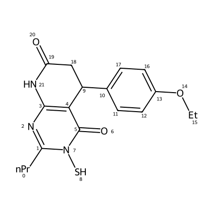 CCCc1nc2c(c(=O)n1S)C(c1ccc(OCC)cc1)CC(=O)N2